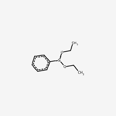 CCO[Si](OCC)c1ccccc1